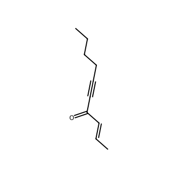 CC=CC(=O)C#CCCCC